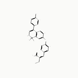 CCC(=Cc1ccc([Se]c2ccc3c(c2)C(C)(C)CC=C3c2ccc(C)cc2)cc1)C(=O)O